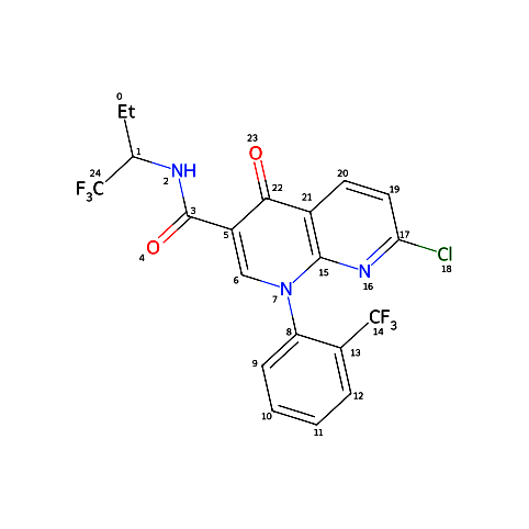 CCC(NC(=O)c1cn(-c2ccccc2C(F)(F)F)c2nc(Cl)ccc2c1=O)C(F)(F)F